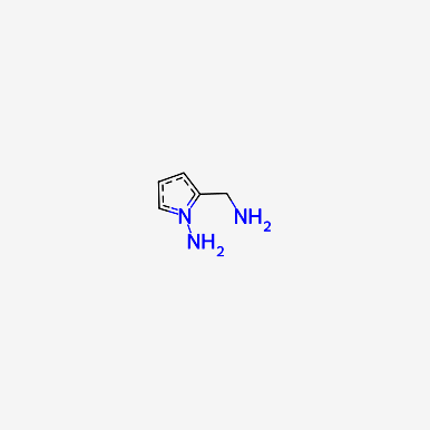 NCc1cccn1N